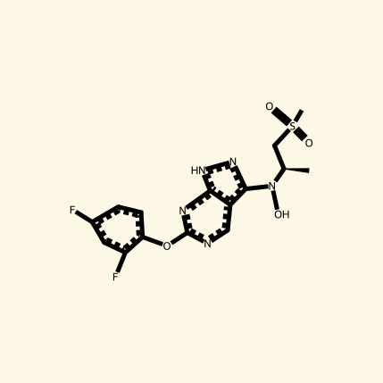 C[C@H](CS(C)(=O)=O)N(O)c1n[nH]c2nc(Oc3ccc(F)cc3F)ncc12